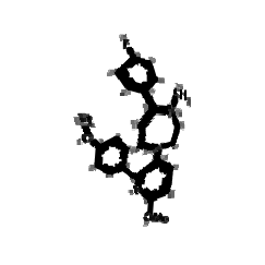 CCOc1ccc(-c2nc(OC)ccc2N2CCC(c3ccc(F)cc3)N(C)CC2)cc1